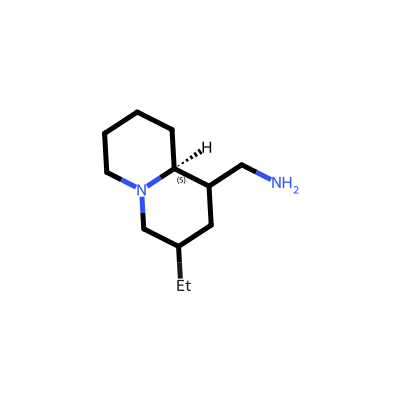 CCC1CC(CN)[C@@H]2CCCCN2C1